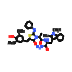 COc1cc(C=C2SC(=Nc3ccccc3)N([C@@H](C)C(=O)N[C@@H](Cc3c(C(C)(C)C)n(C(=O)O)c4ccccc34)C(N)=O)C2=O)cc(OC)c1O